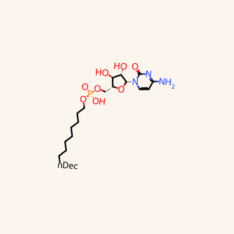 CCCCCCCCCCCCCCCCCCOP(=O)(O)OC[C@H]1O[C@@H](n2ccc(N)nc2=O)[C@@H](O)[C@@H]1O